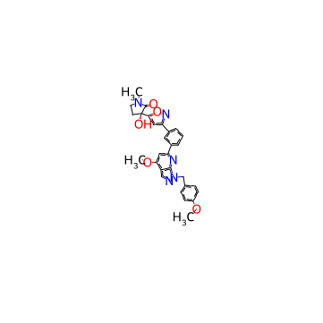 COc1ccc(Cn2ncc3c(OC)cc(-c4cccc(-c5cc([C@]6(O)CCN(C)C6=O)on5)c4)nc32)cc1